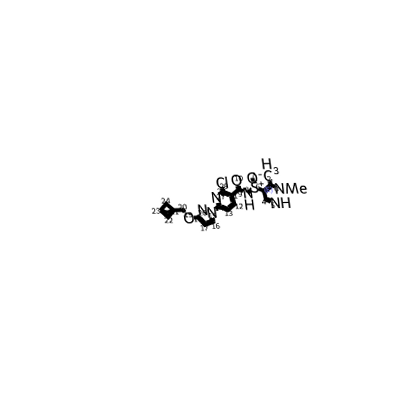 CN/C(C)=C(\C=N)[S+]([O-])NC(=O)c1ccc(-n2ccc(OCC34CC(C3)C4)n2)nc1Cl